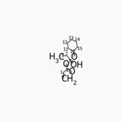 C=CC(=O)OC(O)(CC)OC1CCCCC1